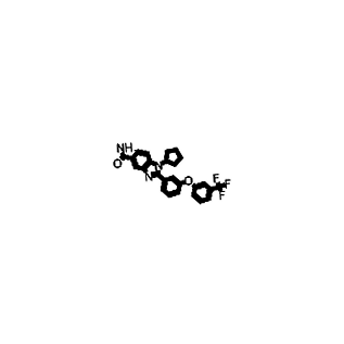 NC(=O)c1ccc2c(c1)nc(-c1cccc(Oc3cccc(C(F)(F)F)c3)c1)n2C1CCCC1